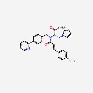 COC(=O)[C@H](Cn1cccc1)N(Cc1ccc(-c2ccccn2)cc1)C(=O)/C=C/c1ccc(C(F)(F)F)cc1